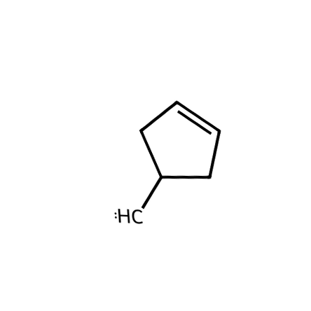 [CH]C1CC=CC1